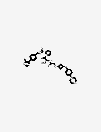 Cc1ncsc1-c1ccc(CNC(=O)[C@@H]2CCCN2C(=O)[C@@H](NC(=O)CO[C@H]2C[C@H](OC3=CC=C(N4CCNCC4)CC3)C2)C(C)(C)C)cc1